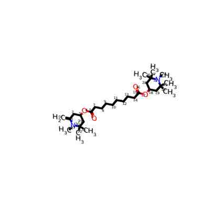 C=C1CC(OC(=O)CCCCCCCCC(=O)OC2CC(C)(C)N(C)C(C)(C)C2)CC(C)(C)N1C